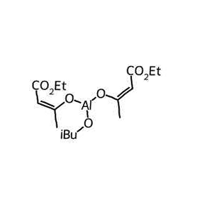 CCOC(=O)/C=C(/C)[O][Al]([O]/C(C)=C\C(=O)OCC)[O]C(C)CC